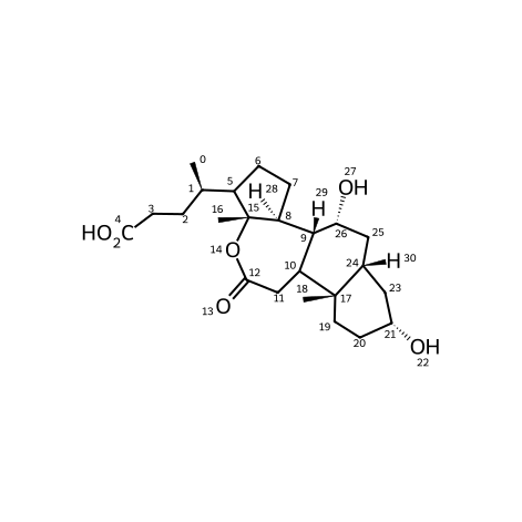 C[C@H](CCC(=O)O)C1CC[C@H]2[C@H]3C(CC(=O)O[C@]12C)[C@@]1(C)CC[C@@H](O)C[C@H]1C[C@H]3O